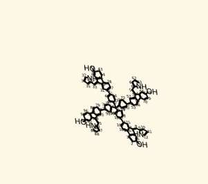 Oc1ccc2c(c1)/C(=C\c1ccc[nH]1)c1cc(-c3ccc(C(c4ccc(-c5ccc6c(c5)/C(=C/c5ccc[nH]5)c5cc(O)ccc5-6)cc4)(c4ccc(-c5ccc6c(c5)/C(=C/c5ccc[nH]5)c5cc(O)ccc5-6)cc4)c4ccc(-c5ccc6c(c5)/C(=C/c5ccc[nH]5)c5cc(O)ccc5-6)cc4)cc3)ccc1-2